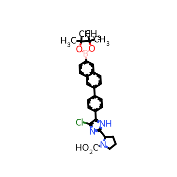 CC1(C)OB(c2ccc3cc(-c4ccc(-c5[nH]c(C6CCCN6C(=O)O)nc5Cl)cc4)ccc3c2)OC1(C)C